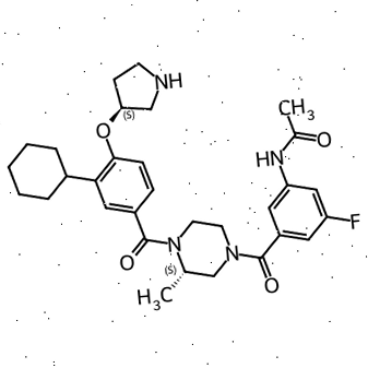 CC(=O)Nc1cc(F)cc(C(=O)N2CCN(C(=O)c3ccc(O[C@H]4CCNC4)c(C4CCCCC4)c3)[C@@H](C)C2)c1